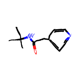 CC(C)(C)NC(=O)c1c[c]ncc1